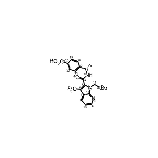 C[C@H](NC(=O)c1c(C(F)(F)F)c2cccnc2n1CC(C)(C)C)c1ccc(C(=O)O)cc1